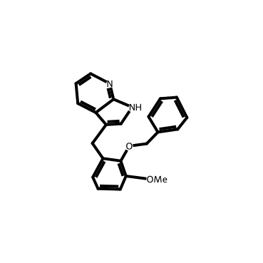 COc1cccc(Cc2c[nH]c3ncccc23)c1OCc1ccccc1